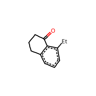 CCc1cccc2c1C(=O)CCC2